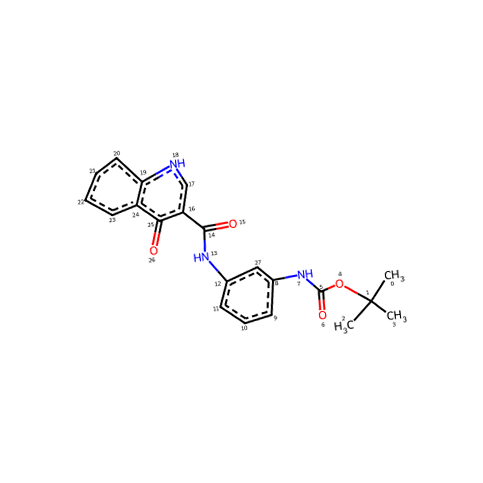 CC(C)(C)OC(=O)Nc1cccc(NC(=O)c2c[nH]c3ccccc3c2=O)c1